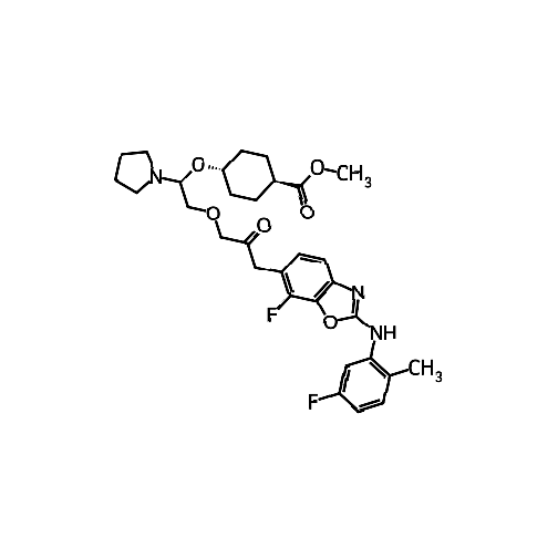 COC(=O)[C@H]1CC[C@H](OC(COCC(=O)Cc2ccc3nc(Nc4cc(F)ccc4C)oc3c2F)N2CCCC2)CC1